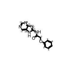 O=C(COc1ccccc1)Nc1nc2ncncc2[nH]1